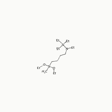 CCO[Si](C)(CCCCN(CC)[Si](CC)(CC)CC)OCC